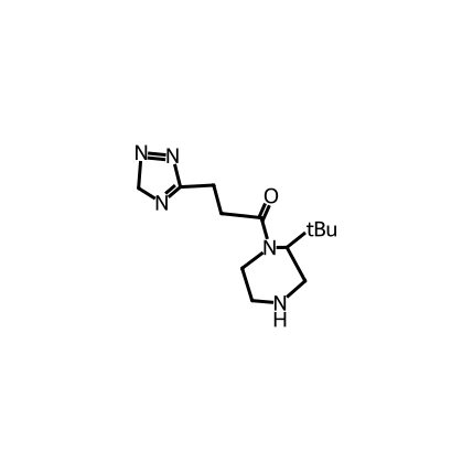 CC(C)(C)C1CNCCN1C(=O)CCC1=NCN=N1